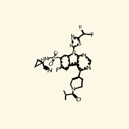 CC(C)C(=O)N1CC=C(c2ncnc3c2c2cc(F)c(S(=O)(=O)NC4(C#N)CC4)cc2n3-c2nnc(C(F)F)s2)CC1